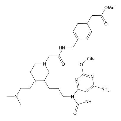 CCCCOc1nc(N)c2[nH]c(=O)n(CCCC3CN(CC(=O)NCc4ccc(CC(=O)OC)cc4)CCN3CCN(C)C)c2n1